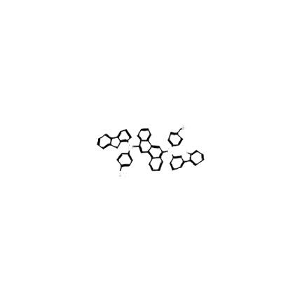 CC(C)c1ccc(N(c2cccc3c2Cc2ccccc2-3)c2cc3c4ccccc4c(N(c4ccc(C(C)C)cc4)c4cccc5c4oc4ccccc45)cc3c3ccccc23)cc1